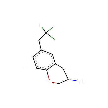 Cl.N[C@H]1COc2ccc(CC(F)(F)F)cc2C1